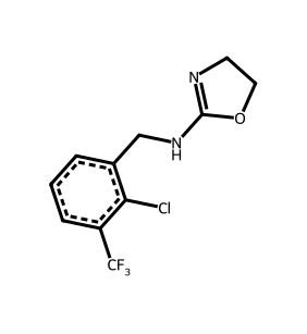 FC(F)(F)c1cccc(CNC2=NCCO2)c1Cl